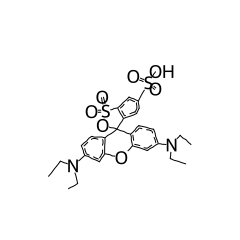 CCN(CC)c1ccc2c(c1)Oc1cc(N(CC)CC)ccc1C21OS(=O)(=O)c2cc(S(=O)(=O)O)ccc21